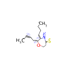 C\C=C/C=C1/OCCC(=S)N/C1=C\CCC